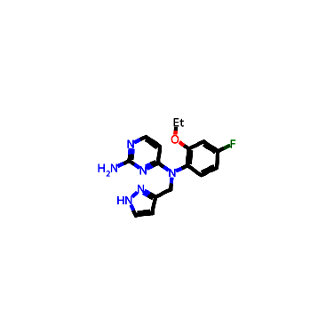 CCOc1cc(F)ccc1N(Cc1cc[nH]n1)c1ccnc(N)n1